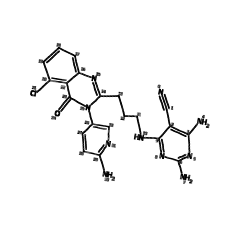 N#Cc1c(N)nc(N)nc1NCCCc1nc2cccc(Cl)c2c(=O)n1-c1ccc(N)nc1